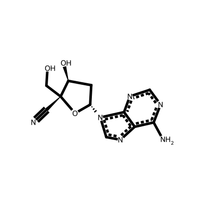 N#C[C@]1(CO)O[C@@H](n2cnc3c(N)ncnc32)C[C@@H]1O